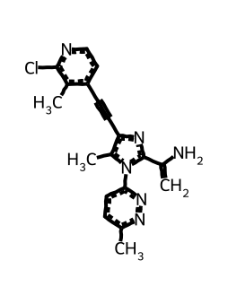 C=C(N)c1nc(C#Cc2ccnc(Cl)c2C)c(C)n1-c1ccc(C)nn1